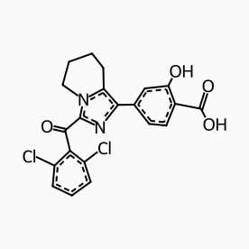 O=C(O)c1ccc(-c2nc(C(=O)c3c(Cl)cccc3Cl)n3c2CCCC3)cc1O